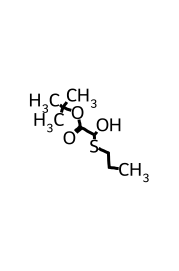 CCCSC(O)C(=O)OC(C)(C)C